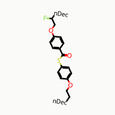 CCCCCCCCCCCCOc1ccc(SC(=O)c2ccc(OCC(F)CCCCCCCCCC)cc2)cc1